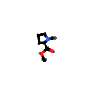 [2H]N1CCC[C@H]1C(=O)O[3H]